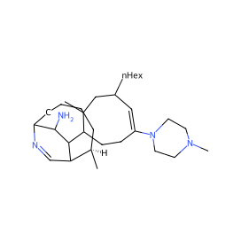 CCCCCCC1/C=C(/N2CCN(C)CC2)CCC(C2C(N)C3CCCC[C@@H](C)C2C=N3)C(C)C1